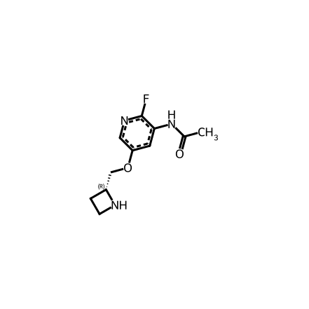 CC(=O)Nc1cc(OC[C@H]2CCN2)cnc1F